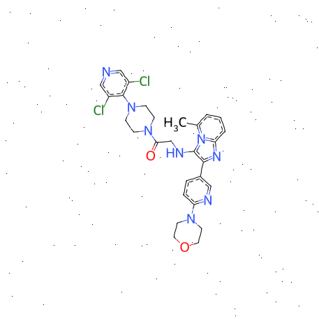 Cc1cccc2nc(-c3ccc(N4CCOCC4)nc3)c(NCC(=O)N3CCN(c4c(Cl)cncc4Cl)CC3)n12